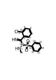 CNN(C(=N)c1ccccc1Cl)S(=O)(=O)c1ccccc1